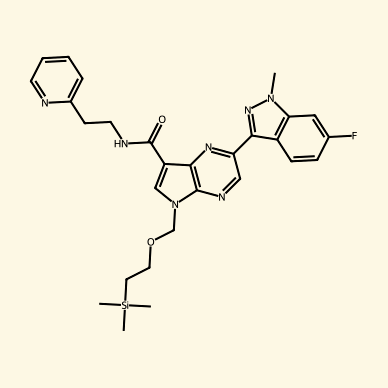 Cn1nc(-c2cnc3c(n2)c(C(=O)NCCc2ccccn2)cn3COCC[Si](C)(C)C)c2ccc(F)cc21